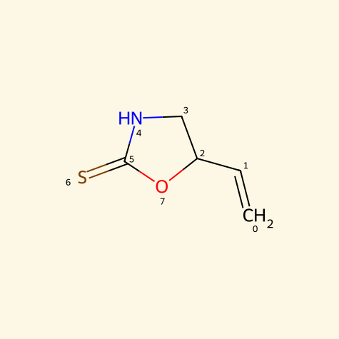 C=CC1CNC(=S)O1